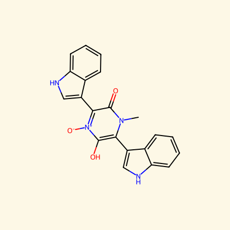 Cn1c(-c2c[nH]c3ccccc23)c(O)[n+]([O-])c(-c2c[nH]c3ccccc23)c1=O